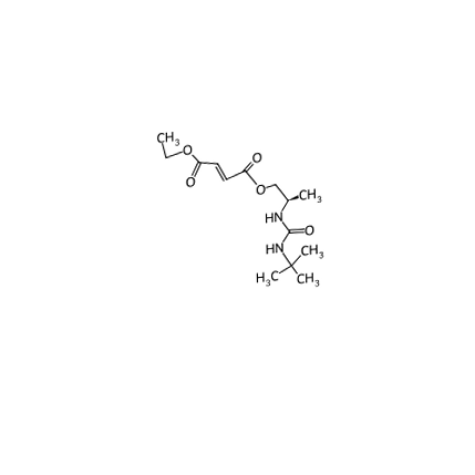 CCOC(=O)/C=C/C(=O)OC[C@@H](C)NC(=O)NC(C)(C)C